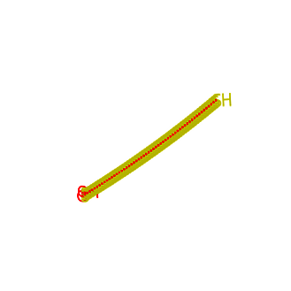 O=C(CO)S(=S)(=S)SSSSSSSSSSSSSSSSSSSSSSSSSSSSSSSSSSSSSSSSSSSSSSSSSSSSSSSSSSSSSSSSSSSSSSSSSSSSSSSSSSSSSSSSSSSSSSSSSSSSSSSSSSSSS